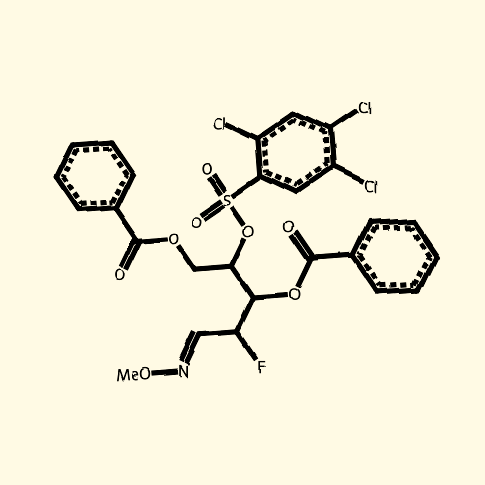 CON=CC(F)C(OC(=O)c1ccccc1)C(COC(=O)c1ccccc1)OS(=O)(=O)c1cc(Cl)c(Cl)cc1Cl